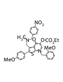 CCOC(=O)Oc1cn(Cc2ccccc2OC)c2sc(-c3ccc(OC)cc3)c(CN(C)Cc3ccc([N+](=O)[O-])cc3)c2c1=O